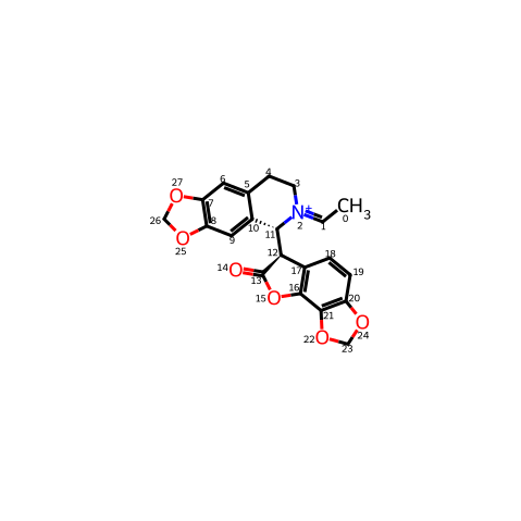 C/C=[N+]1\CCc2cc3c(cc2[C@H]1[C@@H]1C(=O)Oc2c1ccc1c2OCO1)OCO3